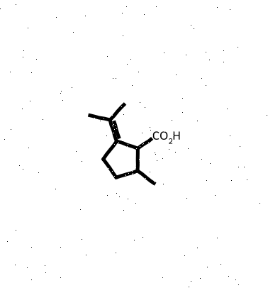 CC(C)=C1CCC(C)C1C(=O)O